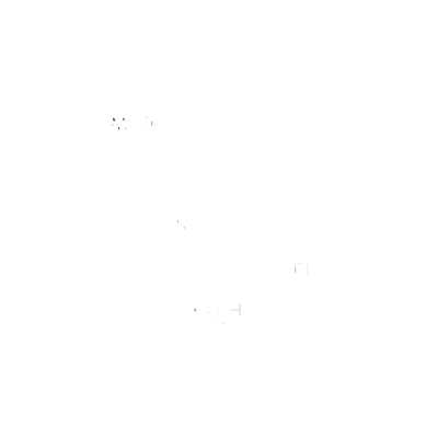 COc1cccc2c(Cl)c(C(=O)O)sc12